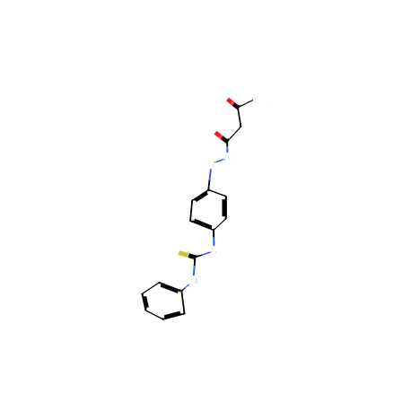 O=C(CC(=O)C(F)(F)F)NNc1ccc(NC(=S)Nc2ccccc2)cc1